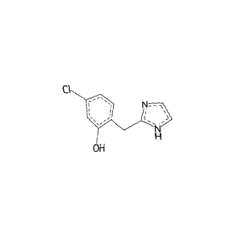 Oc1cc(Cl)ccc1Cc1ncc[nH]1